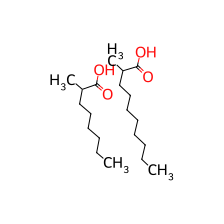 CCCCCCC(C)C(=O)O.CCCCCCCCC(C)C(=O)O